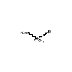 CCCCCCCCCCCCCCCC(=O)N(C)CCOCCOCC